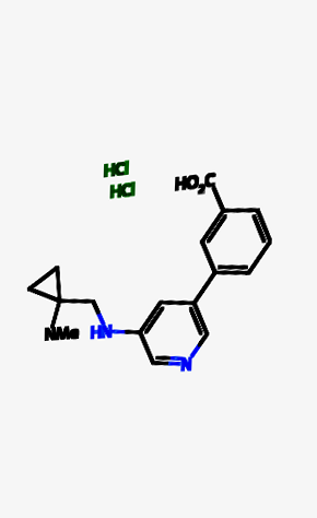 CNC1(CNc2cncc(-c3cccc(C(=O)O)c3)c2)CC1.Cl.Cl